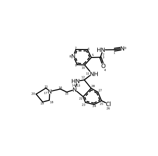 N#CNC(=O)c1ccncc1NC1NN(CCN2CCCC2)c2ccc(Cl)cc21